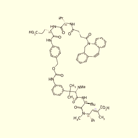 CNC(C(=O)N[C@H](C(=O)N(C)[C@H](/C=C(\C)C(=O)O)C(C)C)C(C)(C)C)C(C)(C)c1cccc(NC(=O)OCc2ccc(NC(=O)[C@H](CCC(=O)O)NC(=O)[C@@H](NC(=O)CCC(=O)N3Cc4ccccc4C#Cc4ccccc43)C(C)C)cc2)c1